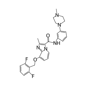 Cc1nc2c(OCc3c(F)cccc3F)cccn2c1C(=O)Nc1cccc(N2CCN(C)CC2)c1